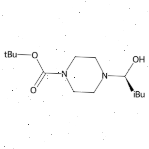 CCC(C)[C@H](O)N1CCN(C(=O)OC(C)(C)C)CC1